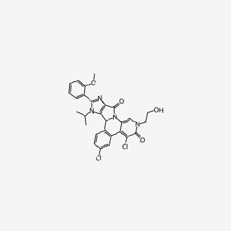 COc1ccccc1-c1nc2c(n1C(C)C)C1c3ccc(Cl)cc3-c3c(cn(CCO)c(=O)c3Cl)N1C2=O